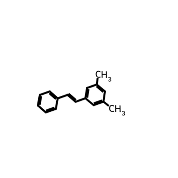 Cc1cc(C)cc(/C=C/c2ccccc2)c1